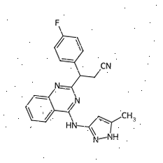 Cc1cc(Nc2nc(C(CC#N)c3ccc(F)cc3)nc3ccccc23)n[nH]1